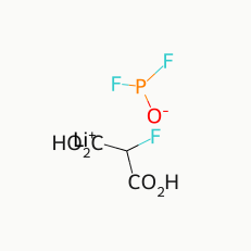 O=C(O)C(F)C(=O)O.[Li+].[O-]P(F)F